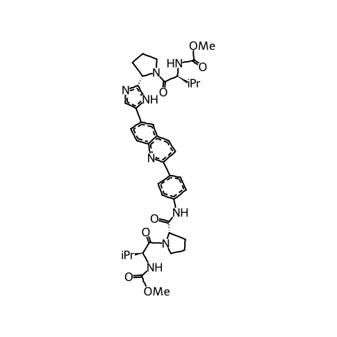 COC(=O)N[C@H](C(=O)N1CCC[C@H]1C(=O)Nc1ccc(-c2ccc3cc(-c4cnc([C@@H]5CCCN5C(=O)[C@@H](NC(=O)OC)C(C)C)[nH]4)ccc3n2)cc1)C(C)C